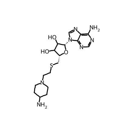 Nc1ncnc2c1ncn2[C@@H]1O[C@H](CSCCN2CCC(N)CC2)C(O)C1O